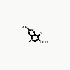 CCOC(=O)c1cn(C)c2cc(C=O)sc2c1=O